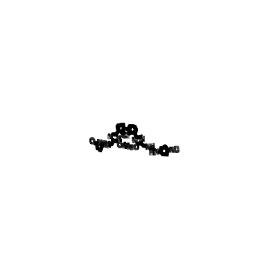 COc1nc(-c2cccc(-c3cccc(-c4cnc(CNC[C@@H]5CCC(=O)N5)c(OC)n4)c3Cl)c2Cl)cnc1CNCCNc1ccc(N=O)cc1